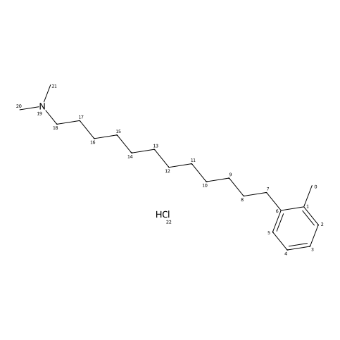 Cc1ccccc1CCCCCCCCCCCCN(C)C.Cl